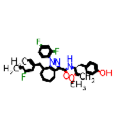 C=C/C(F)=C\C(=C/C)CC1CCCCc2c(C(=O)N[C@H](Cc3ccc(O)cc3)C(=C)OC)nn(-c3ccc(F)cc3F)c21